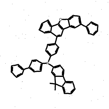 CC1(C)c2ccccc2-c2ccc(N(c3ccc(-c4ccccc4)cc3)c3ccc(-c4cc5c6cc(-c7ccccc7)ccc6oc5c5ccccc45)cc3)cc21